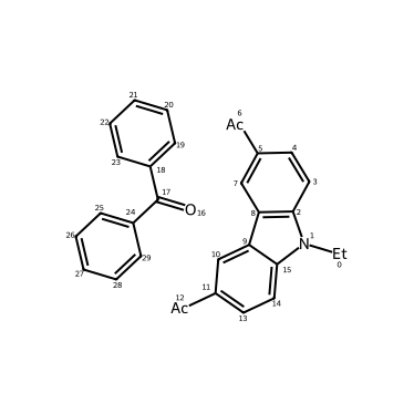 CCn1c2ccc(C(C)=O)cc2c2cc(C(C)=O)ccc21.O=C(c1ccccc1)c1ccccc1